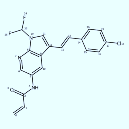 C=CC(=O)Nc1cnc2c(c1)c(C=Cc1ccc(Cl)cc1)cn2C(F)F